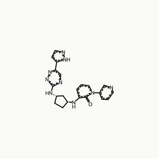 O=c1c(N[C@H]2CC[C@H](Nc3ncc(-c4ccn[nH]4)nn3)C2)cccn1-c1cccnc1